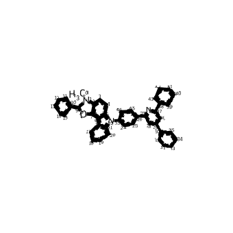 CN1c2ccc3c(c2OC1c1ccccc1)c1ccccc1n3-c1ccc(-c2cc(-c3ccccc3)cc(-c3ccccc3)n2)cc1